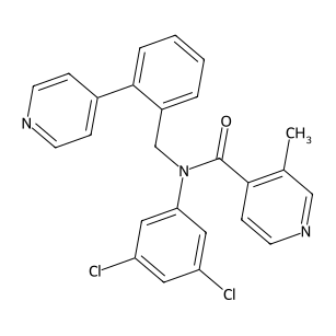 Cc1cnccc1C(=O)N(Cc1ccccc1-c1ccncc1)c1cc(Cl)cc(Cl)c1